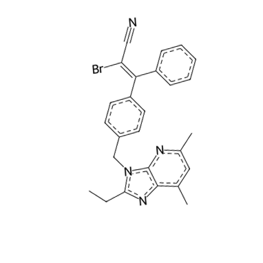 CCc1nc2c(C)cc(C)nc2n1Cc1ccc(C(=C(Br)C#N)c2ccccc2)cc1